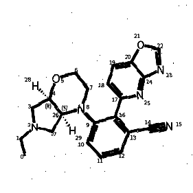 CCN1C[C@H]2OCCN(c3cccc(C#N)c3-c3ccc4ocnc4n3)[C@H]2C1